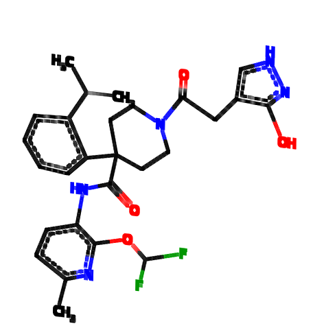 Cc1ccc(NC(=O)C2(c3ccccc3C(C)C)CCN(C(=O)Cc3c[nH]nc3O)CC2)c(OC(F)F)n1